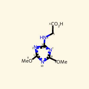 COc1nc(NCC(=O)O)nc(OC)n1